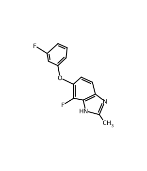 Cc1nc2ccc(Oc3cccc(F)c3)c(F)c2[nH]1